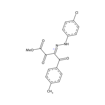 COC(=O)C(=O)/C(=N/Nc1ccc(Cl)cc1)C(=O)c1ccc(C)cc1